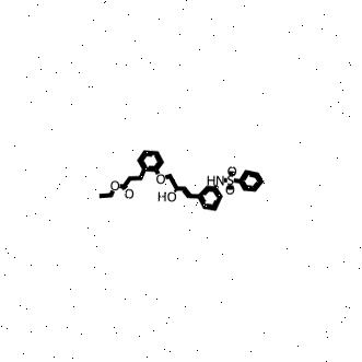 CCOC(=O)CCc1ccccc1OC[C@H](O)/C=C/c1cccc(NS(=O)(=O)c2ccccc2)c1